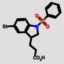 CCc1ccc2c(c1)C(CCC(=O)O)CN2S(=O)(=O)c1ccccc1